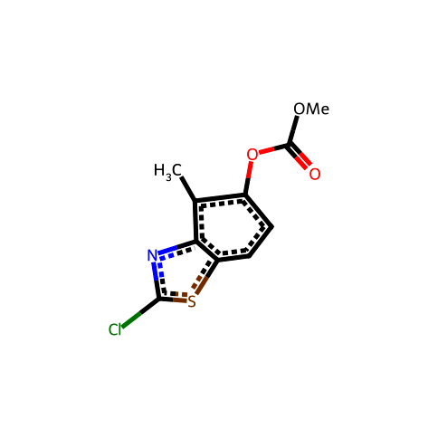 COC(=O)Oc1ccc2sc(Cl)nc2c1C